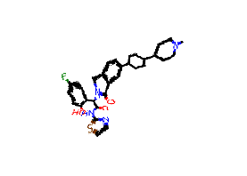 CN1CCC(C2CCC(c3ccc4c(c3)C(=O)N(C(C(=O)Nc3nccs3)c3cc(F)ccc3O)C4)CC2)CC1